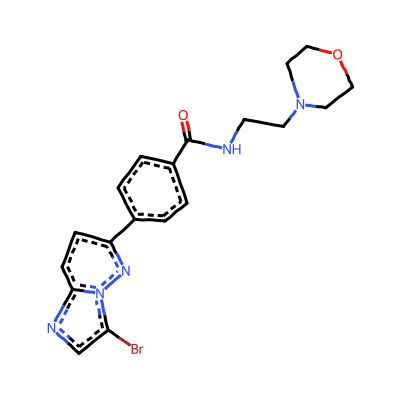 O=C(NCCN1CCOCC1)c1ccc(-c2ccc3ncc(Br)n3n2)cc1